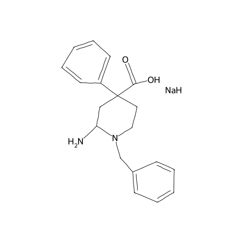 NC1CC(C(=O)O)(c2ccccc2)CCN1Cc1ccccc1.[NaH]